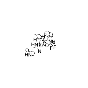 CC1C[C@@H]2C[C@H]1C(C(=O)N[C@H](C#N)C[C@@H]1CCNC1=O)N2C(=O)[C@@H](NC(=O)C(F)(F)F)C12CC3CC(CC(C3)C1)C2